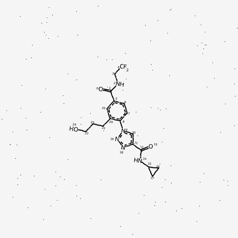 O=C(NCC(F)(F)F)c1ccc(-n2cc(C(=O)NC3CC3)nn2)c(CCCO)c1